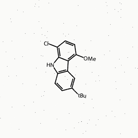 COc1ccc(Cl)c2[nH]c3ccc(C(C)(C)C)cc3c12